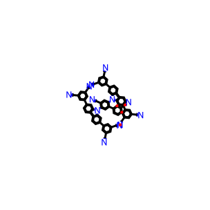 N#Cc1cc(C#N)cc(-c2ccc3c4ccc(-c5cc(C#N)cc(C#N)c5)cc4n(-c4cc(-c5cccc(C#N)c5)c(-n5c6cc(-c7cc(C#N)cc(C#N)c7)ccc6c6ccc(-c7cc(C#N)cc(C#N)c7)cc65)cc4C#N)c3c2)c1